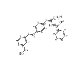 CCOc1cccc(COc2ccc(C=C(NC(=O)c3ccccc3)C(=O)O)cc2)c1